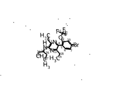 CCc1nc(-c2ccc(Br)cc2OC(F)(F)F)c(CC)nc1NC(CC)CC